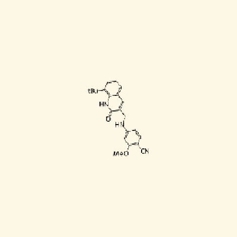 COc1cc(NCc2cc3cccc(C(C)(C)C)c3[nH]c2=O)ccc1C#N